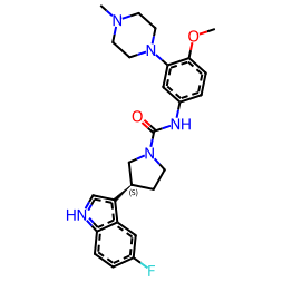 COc1ccc(NC(=O)N2CC[C@@H](c3c[nH]c4ccc(F)cc34)C2)cc1N1CCN(C)CC1